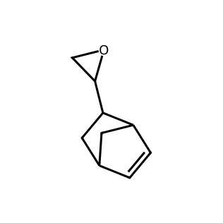 C1=CC2CC1CC2C1CO1